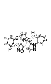 Cc1ccccc1-n1ncc(-c2onc(-c3c(F)cccc3Cl)c2-c2nccs2)c1C(F)(F)F